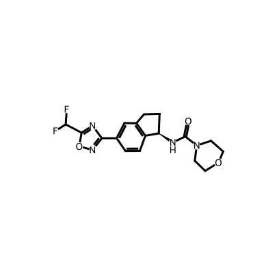 O=C(N[C@@H]1CCc2cc(-c3noc(C(F)F)n3)ccc21)N1CCOCC1